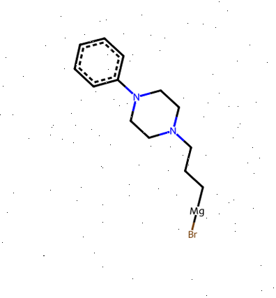 [Br][Mg][CH2]CCN1CCN(c2ccccc2)CC1